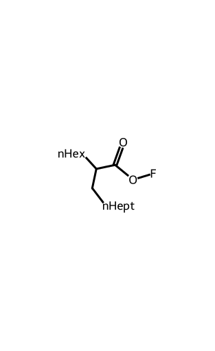 CCCCCCCCC(CCCCCC)C(=O)OF